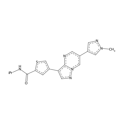 CC(C)NC(=O)c1cc(-c2cnn3cc(-c4cnn(C)c4)cnc23)cs1